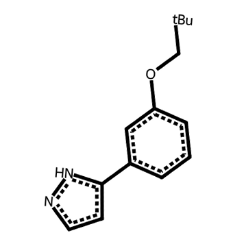 CC(C)(C)COc1cccc(-c2ccn[nH]2)c1